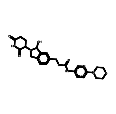 O=C1CCC(N2Cc3ccc(COC(=O)Nc4ccc(N5CCOCC5)nc4)cc3C2O)C(=O)N1